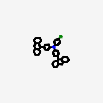 Brc1ccc(N(c2ccc(-c3c4c(cc5c3CCCC5)CCCC4)cc2)c2ccc(-c3c4c(cc5c3CCCC5)CCCC4)cc2)cc1